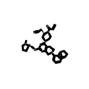 C=CC(=O)N1CCN(c2nc(OC[C@@H]3CCCN3C)nc3c2CCN(c2cccc4c2C2CCC4C2)C3)C[C@@H]1CC#N